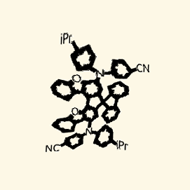 CC(C)c1ccc(N(c2ccc(C#N)cc2)c2cc3c(c4c2oc2ccccc24)-c2c(cc(N(c4ccc(C#N)cc4)c4ccc(C(C)C)cc4)c4c2oc2ccccc24)C32c3ccccc3-c3ccccc32)cc1